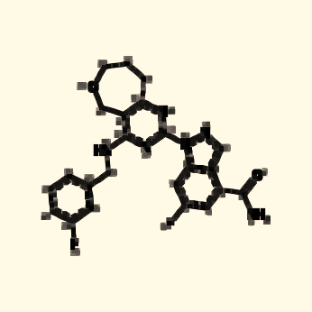 NC(=O)c1cc(F)cc2c1cnn2-c1nc2c(c(NCc3cccc(F)c3)n1)COCCC2